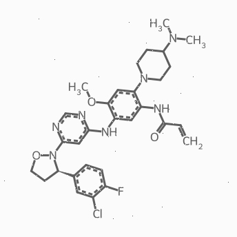 C=CC(=O)Nc1cc(Nc2cc(N3OCC[C@@H]3c3ccc(F)c(Cl)c3)ncn2)c(OC)cc1N1CCC(N(C)C)CC1